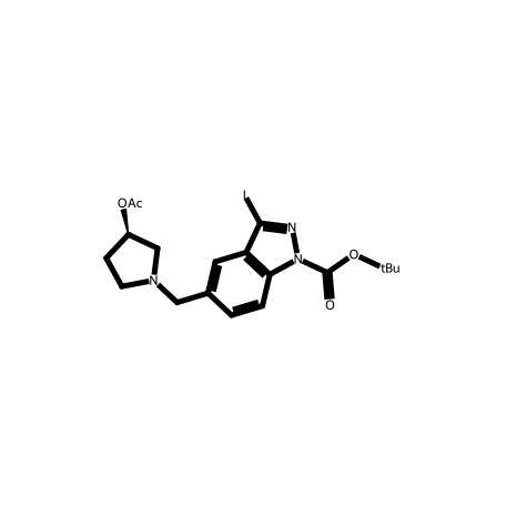 CC(=O)O[C@@H]1CCN(Cc2ccc3c(c2)c(I)nn3C(=O)OC(C)(C)C)C1